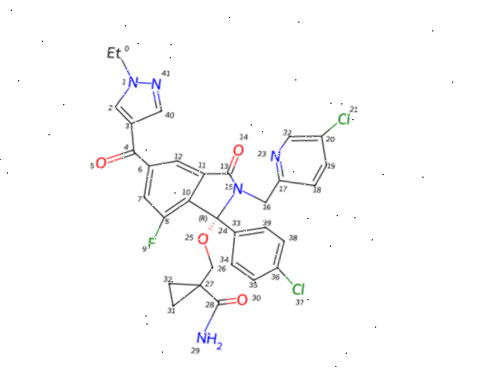 CCn1cc(C(=O)c2cc(F)c3c(c2)C(=O)N(Cc2ccc(Cl)cn2)[C@@]3(OCC2(C(N)=O)CC2)c2ccc(Cl)cc2)cn1